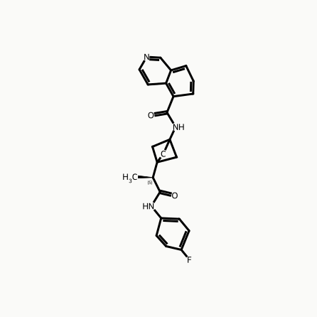 C[C@H](C(=O)Nc1ccc(F)cc1)C12CC(NC(=O)c3cccc4cnccc34)(C1)C2